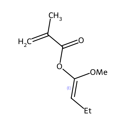 C=C(C)C(=O)O/C(=C/CC)OC